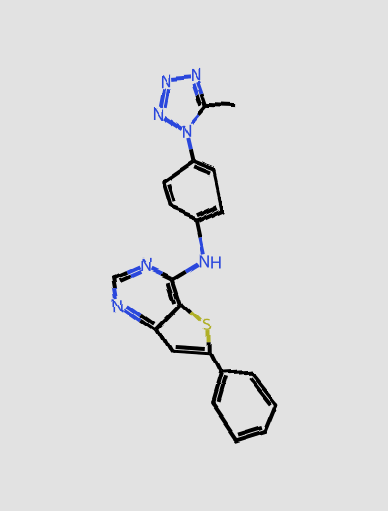 Cc1nnnn1-c1ccc(Nc2ncnc3cc(-c4ccccc4)sc23)cc1